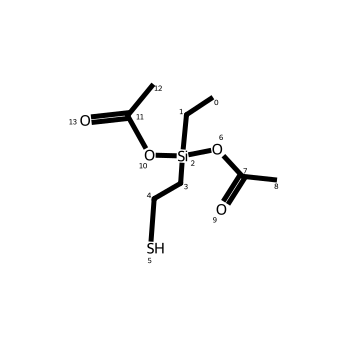 CC[Si](CCS)(OC(C)=O)OC(C)=O